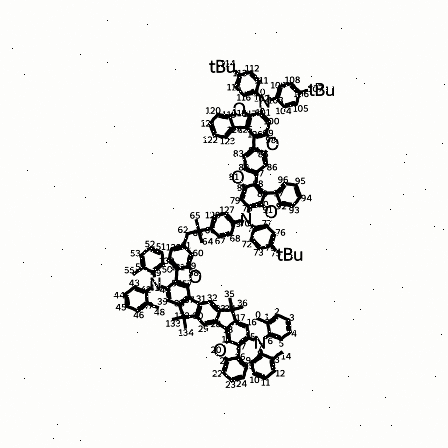 Cc1ccccc1N(c1ccccc1C)c1cc2c(c3oc4ccccc4c13)-c1cc3c(cc1C2(C)C)-c1c(cc(N(c2ccccc2C)c2ccccc2C)c2c1oc1cc(CC(C)(C)c4ccc(N(c5ccc(C(C)(C)C)cc5)c5cc6oc7cc8c(cc7c6c6c5oc5ccccc56)oc5cc(N(c6ccc(C(C)(C)C)cc6)c6ccc(C(C)(C)C)cc6)c6oc7ccccc7c6c58)cc4)ccc12)C3(C)C